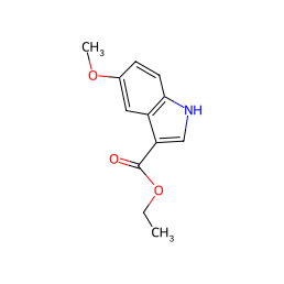 CCOC(=O)c1c[nH]c2ccc(OC)cc12